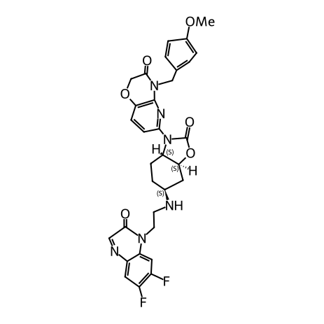 COc1ccc(CN2C(=O)COc3ccc(N4C(=O)O[C@H]5C[C@@H](NCCn6c(=O)cnc7cc(F)c(F)cc76)CC[C@@H]54)nc32)cc1